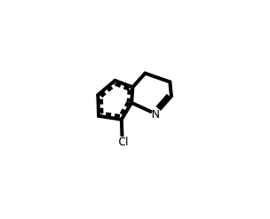 Clc1cccc2c1N=CCC2